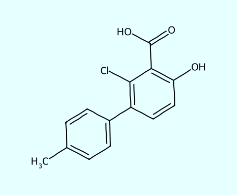 Cc1ccc(-c2ccc(O)c(C(=O)O)c2Cl)cc1